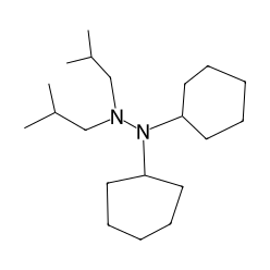 CC(C)CN(CC(C)C)N(C1CCCCC1)C1CCCCC1